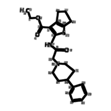 CCOC(=O)c1c(NC(=O)CN2CCC(c3ccccc3)CC2)sc2c1CCC2